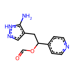 Nc1[nH]ncc1CC(OC=O)c1ccncc1